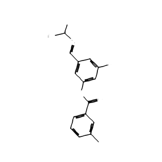 Cc1cccc(C(=O)Oc2cc(Br)cc(C=NC(C(=O)O)C(C)C)c2)c1